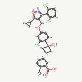 Cc1ccc([C@H]2C[C@@](O)(c3ccc(OCc4c(-c5c(Cl)cccc5Cl)noc4C4CC4)cc3Cl)C2)cc1C(=O)O